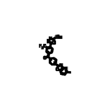 Cc1ccc2oc(N3CCN(C(=O)c4ccc(-c5nnc(C(C)(C)C)o5)c(C(F)(F)F)c4)CC3)nc2n1